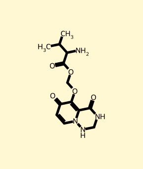 CC(C)C(N)C(=O)OCOc1c2n(ccc1=O)NCNC2=O